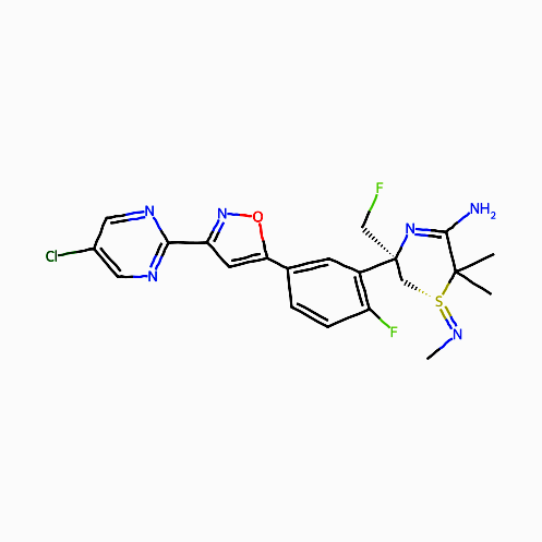 CN=[S@@]1C[C@@](CF)(c2cc(-c3cc(-c4ncc(Cl)cn4)no3)ccc2F)N=C(N)C1(C)C